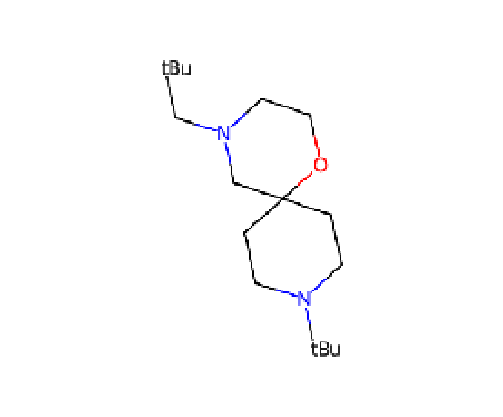 CC(C)(C)CN1CCOC2(CCN(C(C)(C)C)CC2)C1